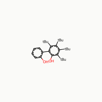 CC(C)(C)c1c(O)c(-c2ccccc2O)c(C(C)(C)C)c(C(C)(C)C)c1C(C)(C)C